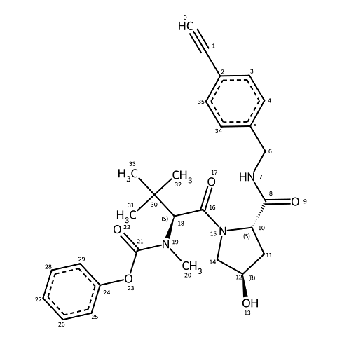 C#Cc1ccc(CNC(=O)[C@@H]2C[C@@H](O)CN2C(=O)[C@@H](N(C)C(=O)Oc2ccccc2)C(C)(C)C)cc1